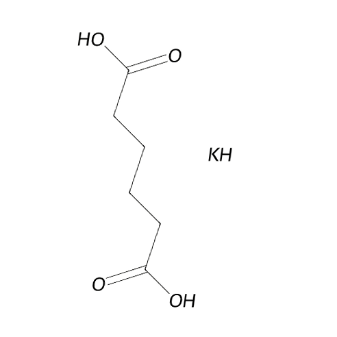 O=C(O)CCCCC(=O)O.[KH]